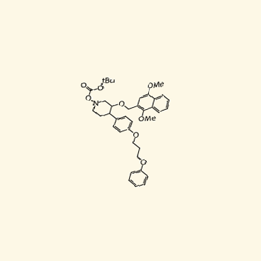 COc1cc(COC2CN(OC(=O)OC(C)(C)C)CCC2c2ccc(OCCCOc3ccccc3)cc2)c(OC)c2ccccc12